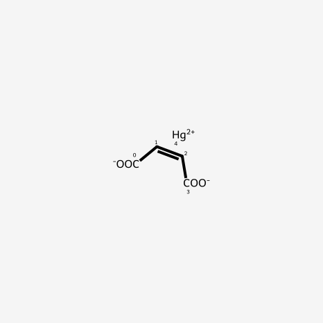 O=C([O-])/C=C\C(=O)[O-].[Hg+2]